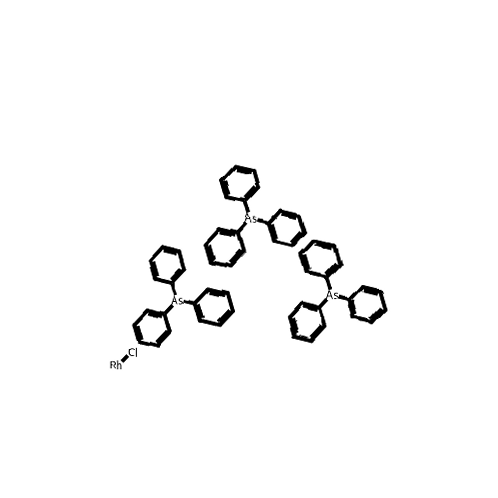 [Cl][Rh].c1ccc([As](c2ccccc2)c2ccccc2)cc1.c1ccc([As](c2ccccc2)c2ccccc2)cc1.c1ccc([As](c2ccccc2)c2ccccc2)cc1